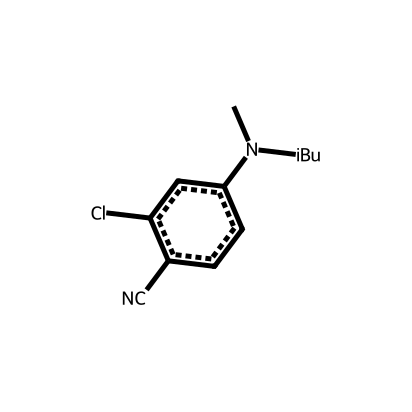 CCC(C)N(C)c1ccc(C#N)c(Cl)c1